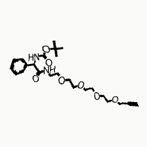 C#CCOCCOCCOCCOCCNC(=O)[C@H](NC(=O)OC(C)(C)C)c1ccccc1